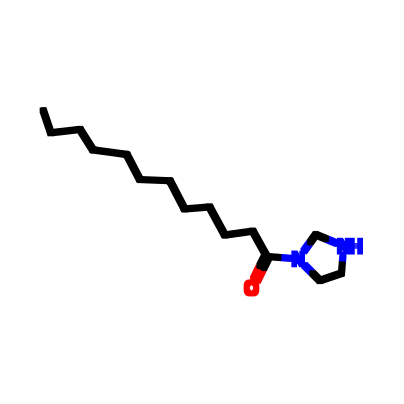 CCCCCCCCCCCC(=O)N1CCNC1